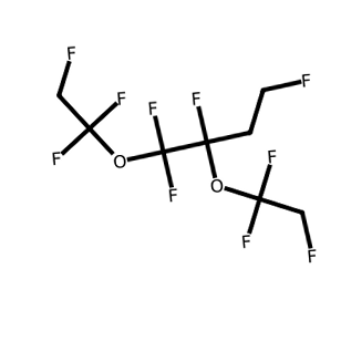 FCCC(F)(OC(F)(F)CF)C(F)(F)OC(F)(F)CF